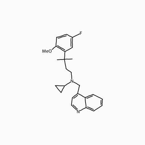 COc1ccc(F)cc1C(C)(C)CCN(Cc1ccnc2ccccc12)C1CC1